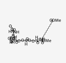 COC(=O)CCCCCCCCCCCCCCCCC(=O)N[C@@H](CCC(=O)NCCOCCOCC(=O)NCCOCCOCC(=O)NCC(=O)N1[C@H]2C[C@@]2(C)C[C@H]1C(=O)NCc1cc(C(=N)NC(=O)OCc2ccccc2)cs1)C(=O)OC